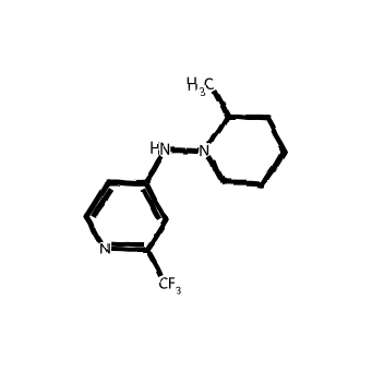 CC1CCCCN1Nc1ccnc(C(F)(F)F)c1